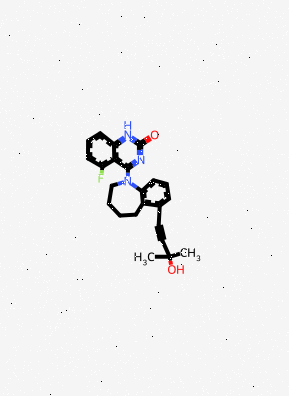 CC(C)(O)C#Cc1cccc2c1CCCCN2c1nc(=O)[nH]c2cccc(F)c12